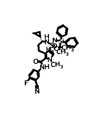 Cn1cc2c(c1C(=O)Nc1ccc(F)c(C#N)c1)CC[C@H](C1CC1)NS2(=O)=N[Si](c1ccccc1)(c1ccccc1)C(C)(C)C